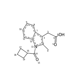 Cc1c(CC(=O)O)c2ccccc2n1C(=O)C1CCC1